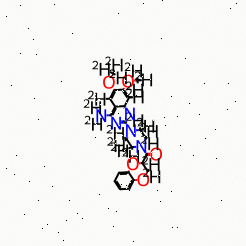 [2H]c1c(OC([2H])([2H])[2H])c(OC([2H])([2H])[2H])c([2H])c2c(N([2H])[2H])nc(N3C([2H])([2H])C([2H])([2H])N(C(=O)C4Oc5ccccc5OC4([2H])[2H])C([2H])([2H])C3([2H])[2H])nc12